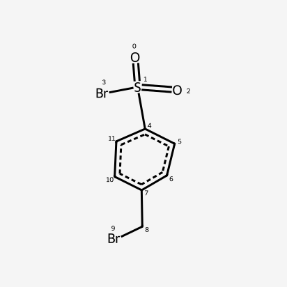 O=S(=O)(Br)c1ccc(CBr)cc1